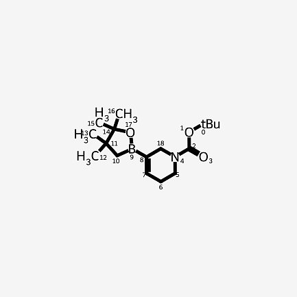 CC(C)(C)OC(=O)N1CCC=C(B2CC(C)(C)C(C)(C)O2)C1